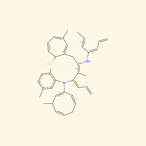 C=C/C=C(\C=C\C)N/C1=C(C)/C(=C\C=C)N(C2=C/C(C)C=CC/C=C\2)c2cc(C)ccc2BC2C=CC=C(C)C=C2C1